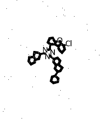 Clc1cccc2c1oc1cccc(-c3nc(-c4ccc5ccccc5c4)nc(-c4ccc5ccc(-c6ccccc6)cc5c4)n3)c12